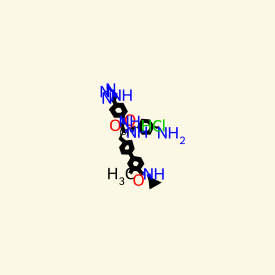 Cc1cc(-c2ccc(C[C@H](NC(=O)[C@H]3CC[C@H](CN)CC3)C(=O)Nc3ccc(-c4nnn[nH]4)cc3)cc2)ccc1C(=O)NC1CC1.Cl